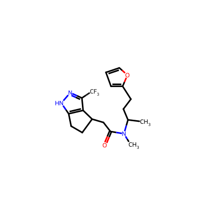 CC(CCc1ccco1)N(C)C(=O)CC1CCc2[nH]nc(C(F)(F)F)c21